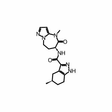 C[C@@H]1CCc2[nH]nc(C(=O)N[C@H]3CCn4nccc4N(C)C3=O)c2C1